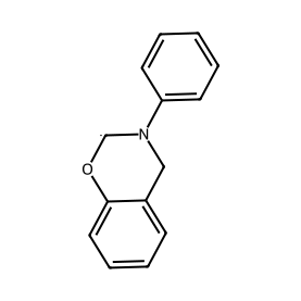 [CH]1Oc2ccccc2CN1c1ccccc1